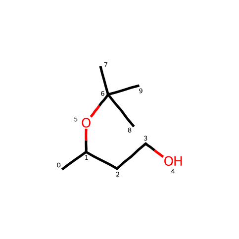 CC(CCO)OC(C)(C)C